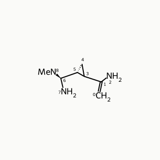 C=C(N)C1C[C@H]1[C@@H](N)NC